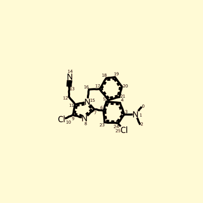 CN(C)c1ccc(-c2nc(Cl)c(CC#N)n2Cc2ccccc2)cc1Cl